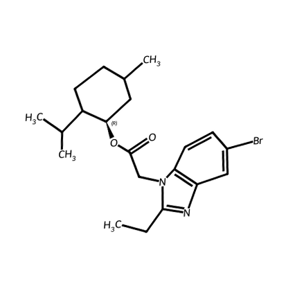 CCc1nc2cc(Br)ccc2n1CC(=O)O[C@@H]1CC(C)CCC1C(C)C